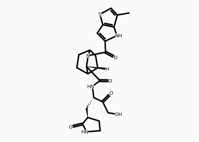 Cc1csc2cc(C(=O)N3C4CCC(CC4)[C@H]3C(=O)N[C@@H](C[C@H]3CCNC3=O)C(=O)CO)[nH]c12